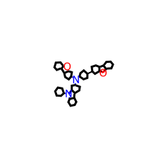 c1ccc(-n2c3ccccc3c3ccc(N(c4ccc(-c5ccc6c(c5)oc5ccccc56)cc4)c4ccc5c(c4)oc4ccccc45)cc32)cc1